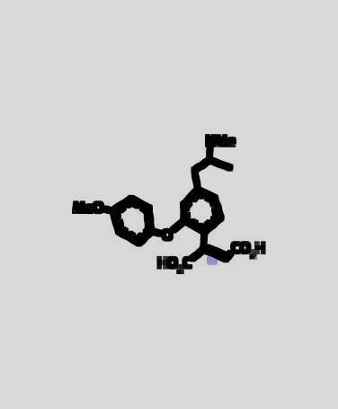 CNC(C)Cc1ccc(/C(=C\C(=O)O)C(=O)O)c(Oc2ccc(OC)cc2)c1